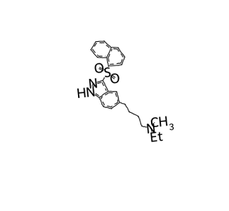 CCN(C)CCCCc1ccc2[nH]nc(S(=O)(=O)c3cccc4ccccc34)c2c1